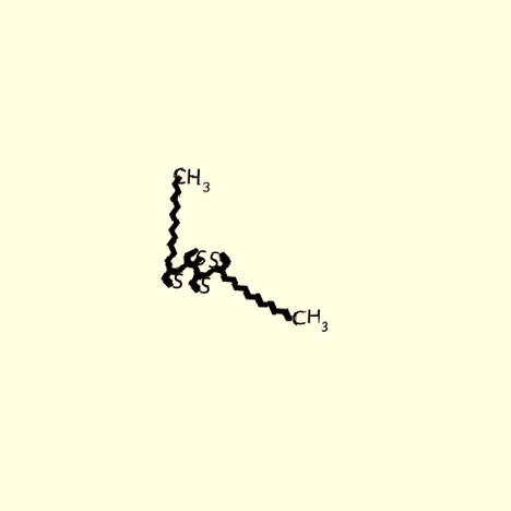 CCCCCCCCCCCCc1ccsc1-c1ccsc1-c1ccsc1-c1sccc1CCCCCCCCCCCC